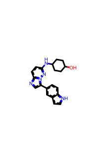 OC1CCC(Nc2ccc3ncc(-c4ccc5[nH]ccc5c4)n3n2)CC1